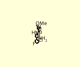 COCc1cc(C(=O)Nc2ccc(-c3cc(F)ccc3Cl)c(N)n2)on1